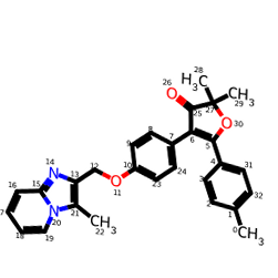 Cc1ccc(C2=C(c3ccc(OCc4nc5ccccn5c4C)cc3)C(=O)C(C)(C)O2)cc1